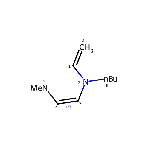 C=CN(/C=C\NC)CCCC